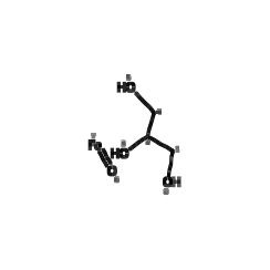 OCC(O)CO.[O]=[Fe]